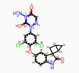 Nn1c(=O)cnn(-c2cc(Cl)c(Oc3ccc4c(c3)C3(CC5CC53)C(=O)N4)c(Cl)c2)c1=O